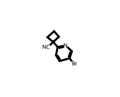 N#CC1(c2ccc(Br)cn2)CCC1